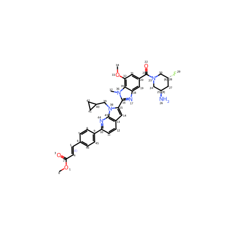 COC(=O)/C=C/c1ccc(-c2ccc3cc(-c4nc5cc(C(=O)N6C[C@H](N)C[C@@H](F)C6)cc(OC)c5n4C)n(CC4CC4)c3n2)cc1